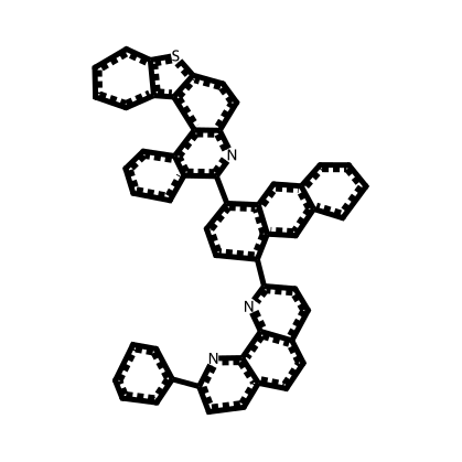 c1ccc(-c2ccc3ccc4ccc(-c5ccc(-c6nc7ccc8sc9ccccc9c8c7c7ccccc67)c6cc7ccccc7cc56)nc4c3n2)cc1